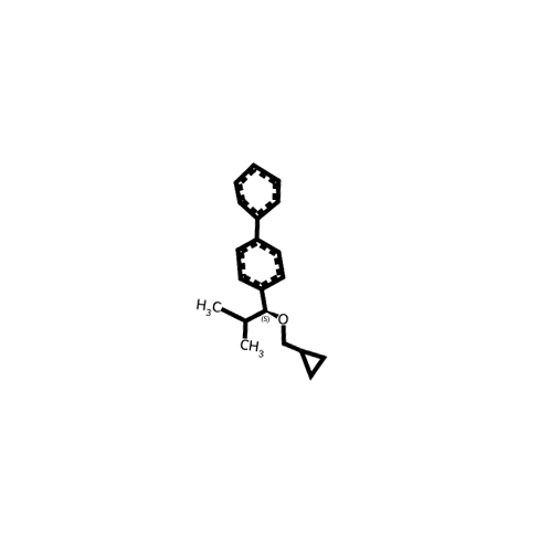 CC(C)[C@H](OCC1CC1)c1ccc(-c2ccccc2)cc1